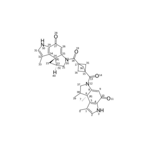 Cc1c[nH]c2c1[C@]1(C)C(=CC2=O)N(C(=O)C23CC(C(=O)N4C[C@H]5C[C@@]56C4=CC(=O)c4[nH]cc(C)c46)(C2)C3)CC1C